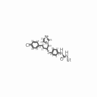 CCNC(=O)Nc1ccc(SC(CCc2ccc(Cl)cc2)Cn2ccnc2)cc1